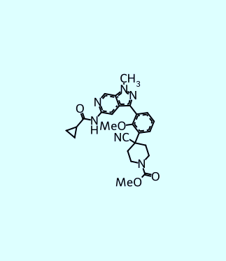 COC(=O)N1CCC(C#N)(c2cccc(-c3nn(C)c4cnc(NC(=O)C5CC5)cc34)c2OC)CC1